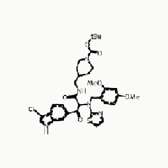 COc1ccc(CN(c2nccs2)C(C(=O)NCC2CCN(C(=O)OC(C)(C)C)CC2)C(=O)c2ccc3c(Cl)c[nH]c3c2)c(OC)c1